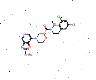 CC(=O)Nc1nc2cncc(N3CCO[C@@H](C(=O)N4CCc5cc(Cl)cc(Cl)c5[C@@H]4C)C3)c2o1